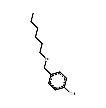 CCCCCCNCc1ccc(O)cc1